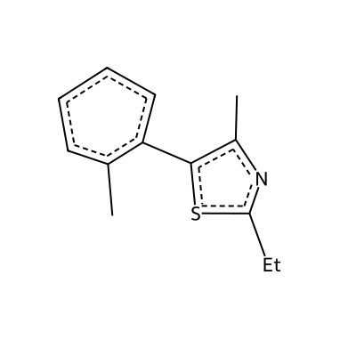 CCc1nc(C)c(-c2ccccc2C)s1